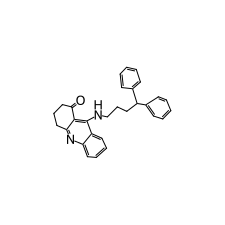 O=C1CCCc2nc3ccccc3c(NCCCC(c3ccccc3)c3ccccc3)c21